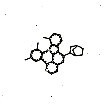 Cc1cc(C)c2c(c1)c1nccc3cc(C4CC5CCC4C5)c4c5cccc(C)c5n2c4c31